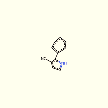 N#Cc1cc[nH]c1-c1ccccc1